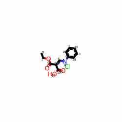 CCOC(=O)/C(=C/N(Cl)c1ccccc1)C(=O)O